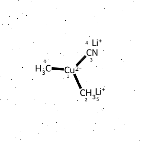 [CH3][Cu-2]([CH3])[C]#N.[Li+].[Li+]